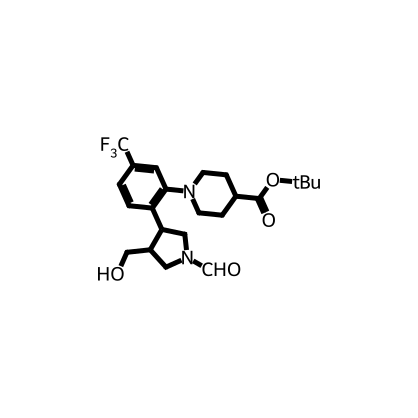 CC(C)(C)OC(=O)C1CCN(c2cc(C(F)(F)F)ccc2C2CN(C=O)CC2CO)CC1